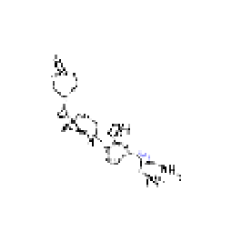 N=C/C(=C\N)c1ccc(-c2ccc(OC3CCNCC3)nn2)c(O)c1